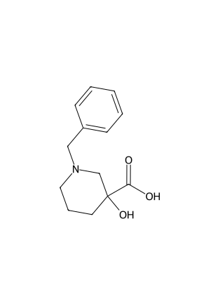 O=C(O)C1(O)CCCN(Cc2ccccc2)C1